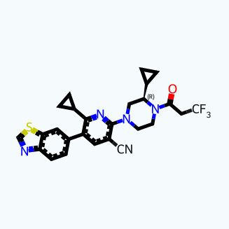 N#Cc1cc(-c2ccc3ncsc3c2)c(C2CC2)nc1N1CCN(C(=O)CC(F)(F)F)[C@H](C2CC2)C1